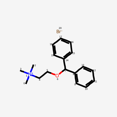 C[N+](C)(C)CCOC(c1ccccc1)c1ccccc1.[Br-]